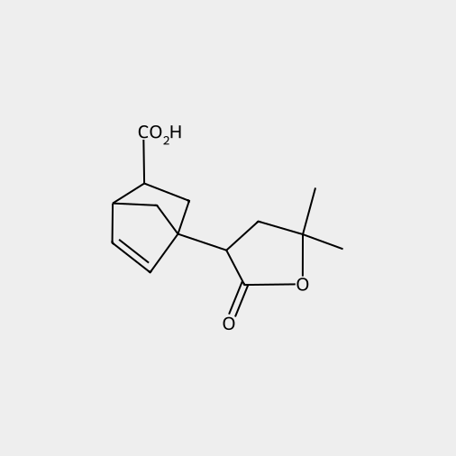 CC1(C)CC(C23C=CC(C2)C(C(=O)O)C3)C(=O)O1